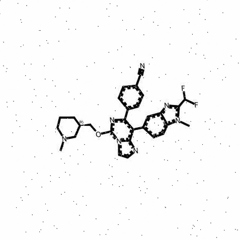 CN1CCC[C@@H](COc2nc(-c3ccc(C#N)cc3)c(-c3ccc4c(c3)nc(C(F)F)n4C)c3nccn23)C1